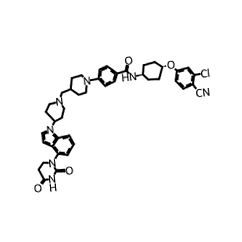 N#Cc1ccc(O[C@H]2CC[C@H](NC(=O)c3ccc(N4CCC(CN5CCC(n6ccc7c(N8CCC(=O)NC8=O)cccc76)CC5)CC4)cc3)CC2)cc1Cl